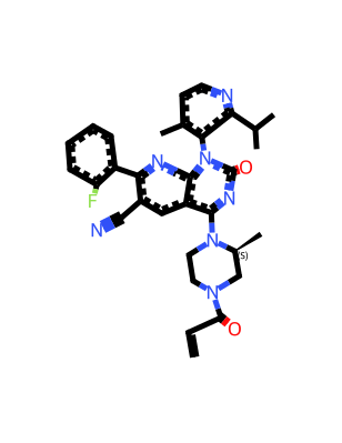 C=CC(=O)N1CCN(c2nc(=O)n(-c3c(C)ccnc3C(C)C)c3nc(-c4ccccc4F)c(C#N)cc23)[C@@H](C)C1